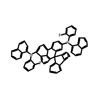 Fc1ccccc1N(c1ccc2c(c1)C1(c3ccccc3-c3ccccc31)c1cccc3c(N(c4ccccc4F)c4cccc5ccccc45)ccc-2c13)c1cccc2ccccc12